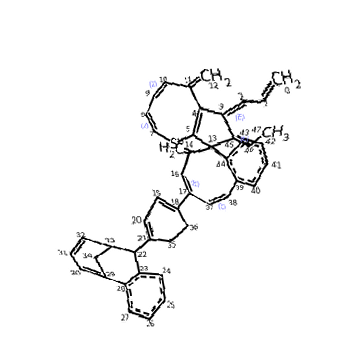 C=C/C=C1/C2=C(S/C=C\C=C/C2=C)C2(C(=C)/C=C(C3=CC=C(C4c5ccccc5C5=CC=CC4C5)CC3)\C=C/c3ccccc32)/C1=C/C